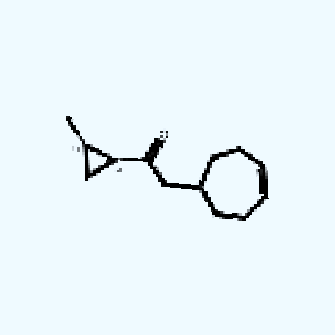 C[C@@H]1C[C@@H]1C(=O)CC1CCC=CCC1